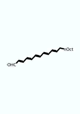 CCCCCCCCC/C=C/C=C/C=C/C=C/C=C/[C]=O